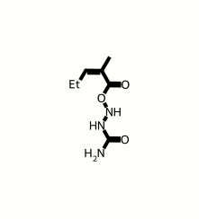 CCC=C(C)C(=O)ONNC(N)=O